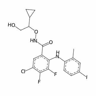 Cc1cc(I)ccc1Nc1c(C(=O)NOC(CO)C2CC2)cc(Cl)c(F)c1F